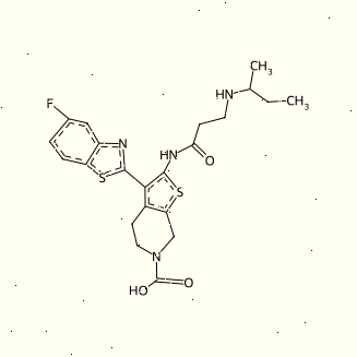 CCC(C)NCCC(=O)Nc1sc2c(c1-c1nc3cc(F)ccc3s1)CCN(C(=O)O)C2